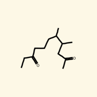 CCC(=O)CCCC(C)C(C)CC(C)=O